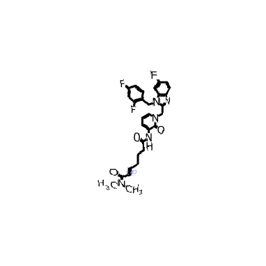 CN(C)C(=O)/C=C/CCCC(=O)Nc1cccn(Cc2nc3ccc(F)cc3n2Cc2ccc(F)cc2F)c1=O